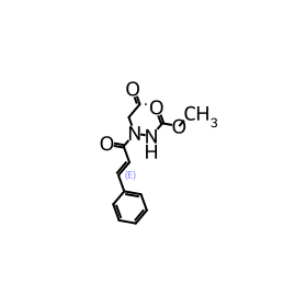 COC(=O)NN(C[C]=O)C(=O)/C=C/c1ccccc1